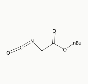 CCCCOC(=O)CN=C=O